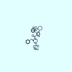 CCCC1(O)CCCCC1n1cnc(C(=O)N2CCN(C(=O)OC(C)(C)C)C[C@H]2Cc2ccccc2)c1-c1ccccc1